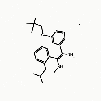 CN/C(=C(\N)c1cccc(OCC(C)(C)C)c1)c1ccccc1CC(C)C